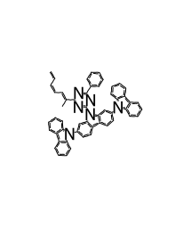 C=C/C=C\C=C(/C)c1nc(-c2ccccc2)nc(-n2c3cc(-n4c5ccccc5c5ccccc54)ccc3c3ccc(-n4c5ccccc5c5ccccc54)cc32)n1